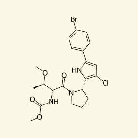 COC(=O)N[C@H](C(=O)N1CCC[C@H]1c1[nH]c(-c2ccc(Br)cc2)cc1Cl)[C@@H](C)OC